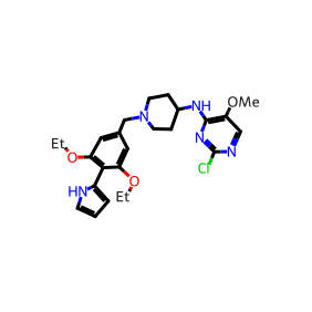 CCOc1cc(CN2CCC(Nc3nc(Cl)ncc3OC)CC2)cc(OCC)c1-c1ccc[nH]1